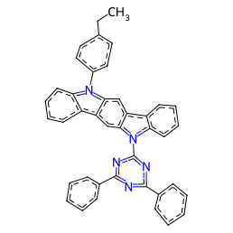 CCc1ccc(-n2c3ccccc3c3cc4c(cc32)c2ccccc2n4-c2nc(-c3ccccc3)nc(-c3ccccc3)n2)cc1